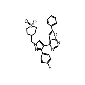 O=S1(=O)CCC(Cn2cc(-c3ncnc4oc(-c5ccccc5)cc34)c(-c3ccc(F)cc3)n2)CC1